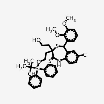 COc1cccc(C2SC(CCO)(CCO[Si](c3ccccc3)(c3ccccc3)C(C)(C)C)C(=S)Nc3ccc(Cl)cc32)c1OC